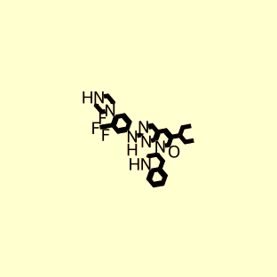 CCC(CC)c1cc2cnc(Nc3ccc(N4CCNCC4)c(C(F)(F)F)c3)nc2n(C2CNc3ccccc3C2)c1=O